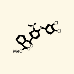 COC(=O)c1ccccc1C(=O)c1ccc(Sc2ccc(Cl)c(Cl)c2)c(N(C)C)c1